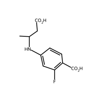 CC(CC(=O)O)Nc1ccc(C(=O)O)c(F)c1